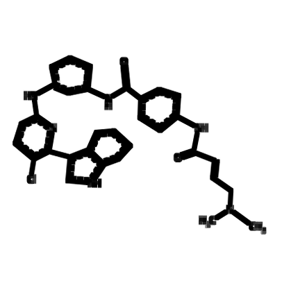 CN(C)CC=CC(=O)Nc1ccc(C(=O)Nc2cccc(Nc3ccc(Cl)c(-c4c[nH]c5ccccc45)n3)c2)cc1